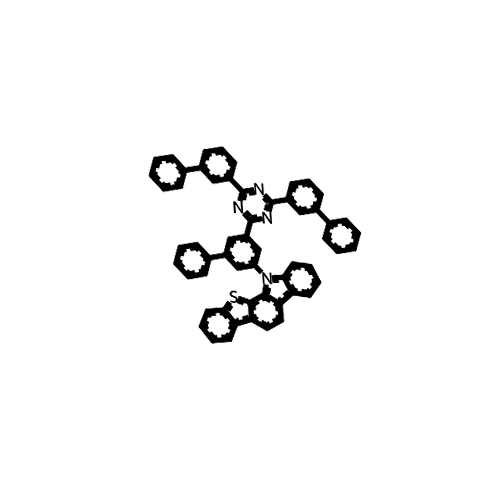 c1ccc(-c2cccc(-c3nc(-c4cccc(-c5ccccc5)c4)nc(-c4cc(-c5ccccc5)cc(-n5c6ccccc6c6ccc7c8ccccc8sc7c65)c4)n3)c2)cc1